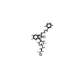 O=c1n(CCCCc2ccccc2)c2ccccc2n1C1CCN(CCCCCl)CC1